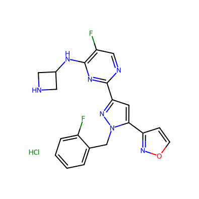 Cl.Fc1ccccc1Cn1nc(-c2ncc(F)c(NC3CNC3)n2)cc1-c1ccon1